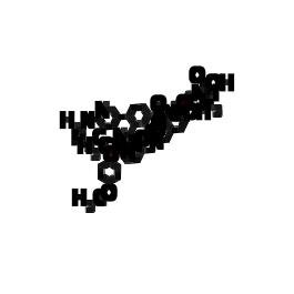 COc1ccc(CN(Cc2ccc(OC)cc2)S(=O)(=O)c2c(S(=O)(=O)NCC(O)CNC(=O)O)ccc(-c3cnc(N)c(C)c3)c2-c2nnn(Cc3ccc(OC)cc3)n2)cc1